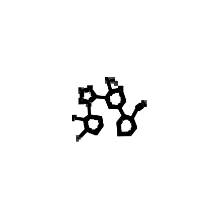 N#Cc1ccccc1-c1cnc(N)c(-c2nnnn2-c2cccc(F)c2F)c1